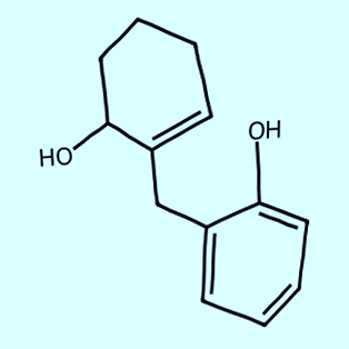 Oc1ccccc1CC1=CCCCC1O